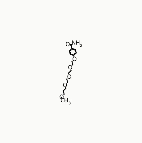 COCCCOCCOCCOCCOc1ccc(C(N)=O)cc1